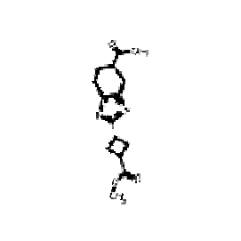 COC(=O)[C@H]1C[C@H](c2nc3c(s2)CC(C(=O)O)CC3)C1